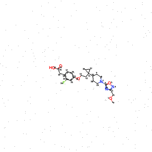 COCc1noc(N2CCC(C3(CCOc4ccc(CC(=O)O)c(F)c4)CC3)CC2)n1